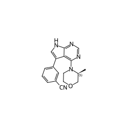 C[C@H]1COCCN1c1ncnc2[nH]cc(-c3cccc(C#N)c3)c12